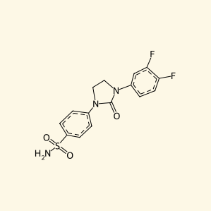 NS(=O)(=O)c1ccc(N2CCN(c3ccc(F)c(F)c3)C2=O)cc1